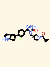 O=C(C1CC1)N1CC[C@@H](Cn2c(-c3ccc(-c4ccc5[nH]ccc5c4)c(F)c3)n[nH]c2=O)C1